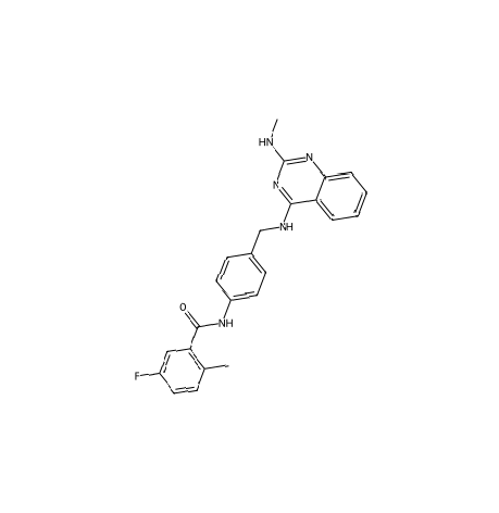 CNc1nc(NCc2ccc(NC(=O)c3cc(F)ccc3C)cc2)c2ccccc2n1